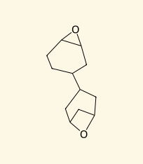 C1C2CC(C3CCC4OC4C3)CC1O2